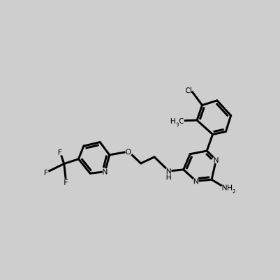 Cc1c(Cl)cccc1-c1cc(NCCOc2ccc(C(F)(F)F)cn2)nc(N)n1